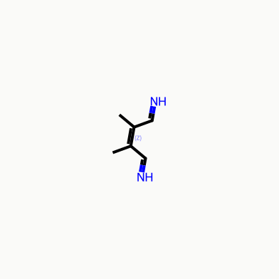 C/C(C=N)=C(\C)C=N